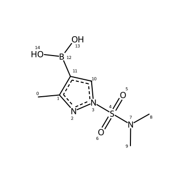 Cc1nn(S(=O)(=O)N(C)C)cc1B(O)O